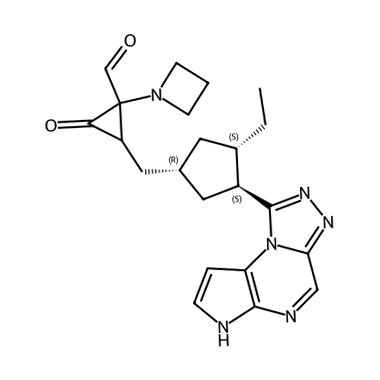 CC[C@H]1C[C@@H](CC2C(=O)C2(C=O)N2CCC2)C[C@@H]1c1nnc2cnc3[nH]ccc3n12